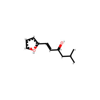 CC(C)CC(=O)/C=C/c1ccco1